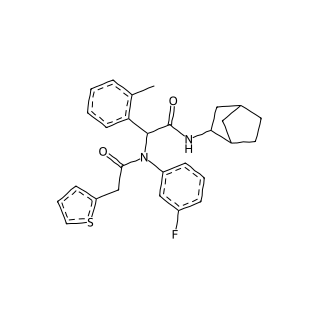 Cc1ccccc1C(C(=O)NC1CC2CCC1C2)N(C(=O)Cc1cccs1)c1cccc(F)c1